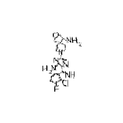 N=C(c1cccc(F)c1Cl)c1ncc(N2CCC3(CC2)COC[C@H]3N)nc1N